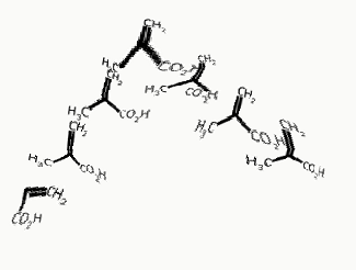 C=C(C)C(=O)O.C=C(C)C(=O)O.C=C(C)C(=O)O.C=C(C)C(=O)O.C=C(C)C(=O)O.C=C(C)C(=O)O.C=CC(=O)O